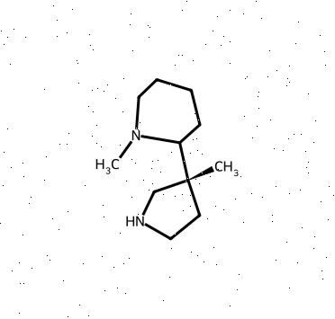 CN1CCCCC1[C@]1(C)CCNC1